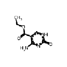 CCOC(=O)c1c[nH]c(=O)nc1N